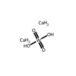 [CaH2].[CaH2].[O]=[W](=[O])([OH])[OH]